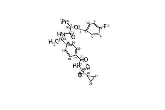 CC(C)[C@@H](OCc1ccc(F)cc1)C(=O)N[C@@H](C)c1ccc(C(=O)NS(=O)(=O)C2CC2)cc1